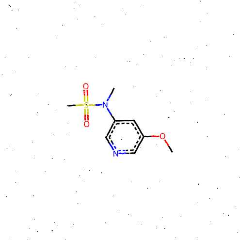 COc1cncc(N(C)S(C)(=O)=O)c1